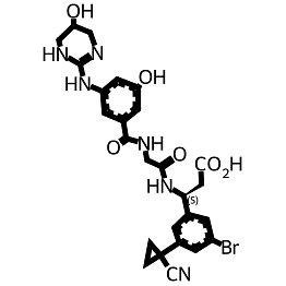 N#CC1(c2cc(Br)cc([C@H](CC(=O)O)NC(=O)CNC(=O)c3cc(O)cc(NC4=NCC(O)CN4)c3)c2)CC1